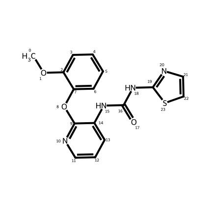 COc1ccccc1Oc1ncccc1NC(=O)Nc1nccs1